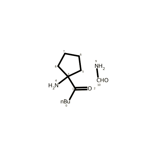 CCCCC(=O)C1(N)CCCC1.NC=O